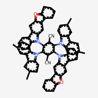 Cc1ccc2c(c1)c1cc(C)ccc1n2-c1c(C#N)c(-n2c3ccccc3c3cc4oc5ccccc5c4cc32)c(-n2c3ccc(C)cc3c3cc(C)ccc32)c(C#N)c1-n1c2ccccc2c2cc3oc4ccccc4c3cc21